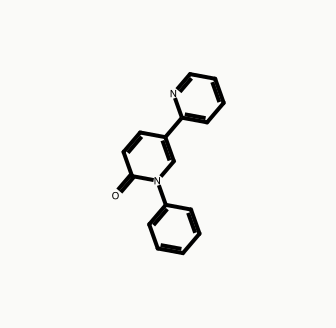 O=c1ccc(-c2ccccn2)cn1-c1ccccc1